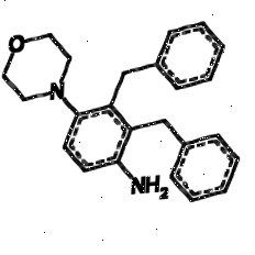 Nc1ccc(N2CCOCC2)c(Cc2ccccc2)c1Cc1ccccc1